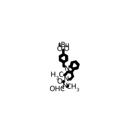 CC1c2c(c3ccccc3n2Cc2ccc(C(=O)OC(C)(C)C)cc2)CCN1C(=O)N(C)C=O